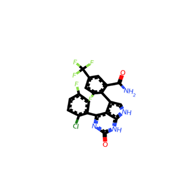 NC(=O)c1cc(C(F)(F)F)cc(F)c1-c1c[nH]c2[nH]c(=O)nc(-c3cc(F)ccc3Cl)c12